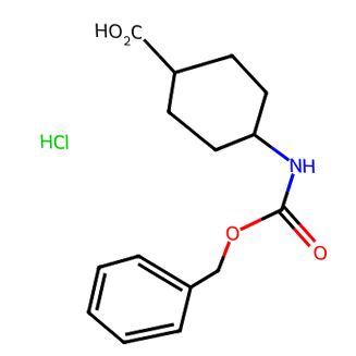 Cl.O=C(NC1CCC(C(=O)O)CC1)OCc1ccccc1